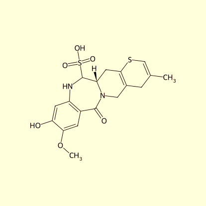 COc1cc2c(cc1O)NC(S(=O)(=O)O)[C@@H]1CC3=C(CC(C)=CS3)CN1C2=O